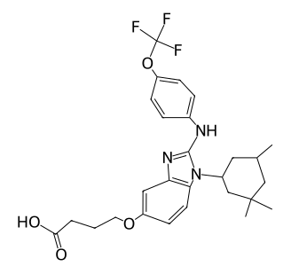 CC1CC(n2c(Nc3ccc(OC(F)(F)F)cc3)nc3cc(OCCCC(=O)O)ccc32)CC(C)(C)C1